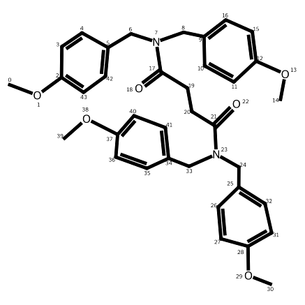 COc1ccc(CN(Cc2ccc(OC)cc2)C(=O)CCC(=O)N(Cc2ccc(OC)cc2)Cc2ccc(OC)cc2)cc1